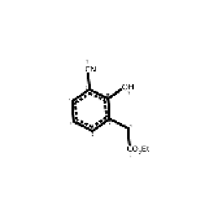 CCOC(=O)Cc1cccc(C#N)c1O